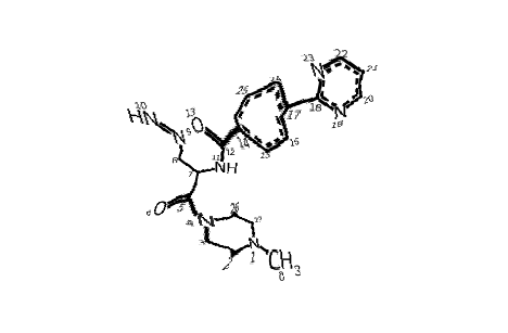 CN1CCN(C(=O)C(CN=N)NC(=O)c2ccc(-c3ncccn3)cc2)CC1